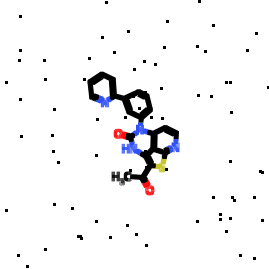 CC(=O)c1sc2nccc3c2c1NC(=O)N3c1cccc(-c2ccccn2)c1